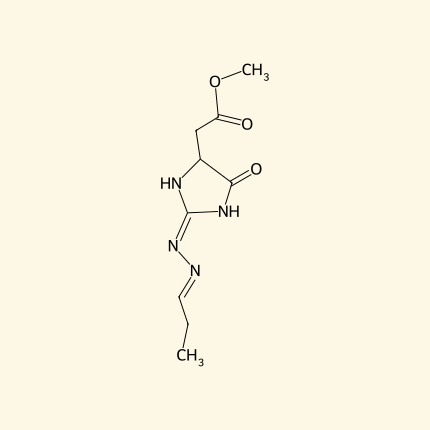 CC/C=N/N=C1\NC(=O)C(CC(=O)OC)N1